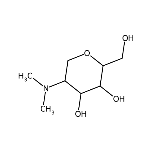 CN(C)C1COC(CO)C(O)C1O